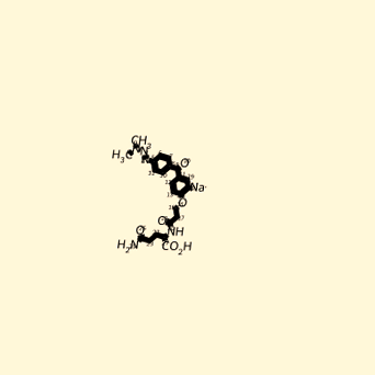 CN(C)N=Nc1ccc(C(=O)c2ccc(OCCC(=O)NC(CCC(N)=O)C(=O)O)cc2)cc1.[Na]